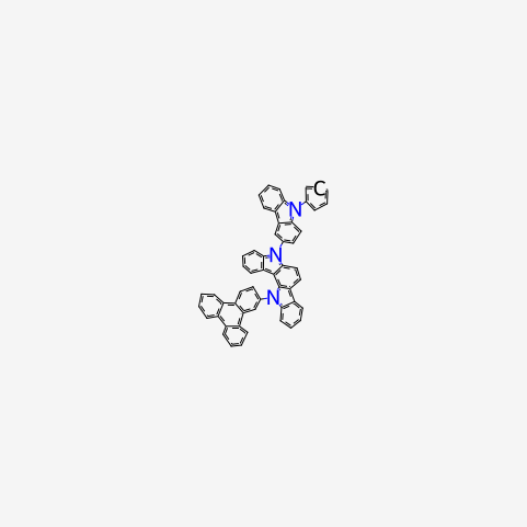 c1ccc(-n2c3ccccc3c3cc(-n4c5ccccc5c5c4ccc4c6ccccc6n(-c6ccc7c8ccccc8c8ccccc8c7c6)c45)ccc32)cc1